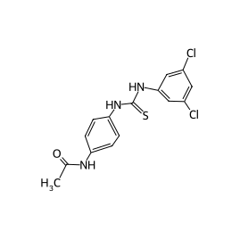 CC(=O)Nc1ccc(NC(=S)Nc2cc(Cl)cc(Cl)c2)cc1